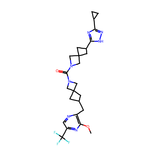 COc1nc(C(F)(F)F)cnc1CC1CC2(C1)CN(C(=O)N1CC3(CC(c4nc(C5CC5)n[nH]4)C3)C1)C2